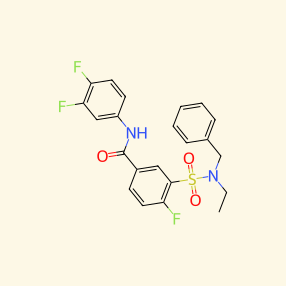 CCN(Cc1ccccc1)S(=O)(=O)c1cc(C(=O)Nc2ccc(F)c(F)c2)ccc1F